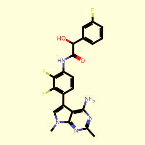 Cc1nc(N)c2c(-c3ccc(NC(=O)C(O)c4cccc(F)c4)c(F)c3F)cn(C)c2n1